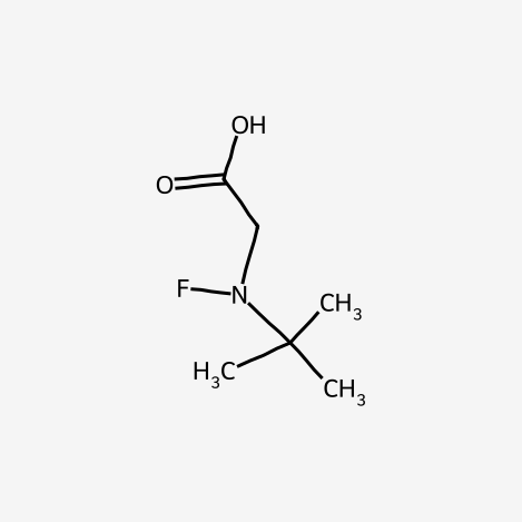 CC(C)(C)N(F)CC(=O)O